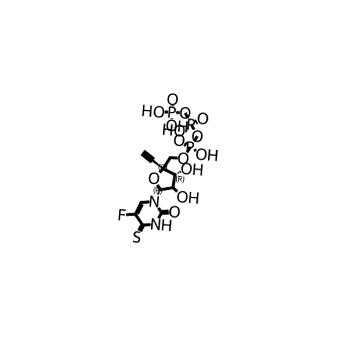 C#C[C@]1(COP(=O)(O)OP(=O)(O)OP(=O)(O)O)O[C@@H](n2cc(F)c(=S)[nH]c2=O)C(O)[C@H]1O